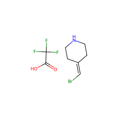 BrC=C1CCNCC1.O=C(O)C(F)(F)F